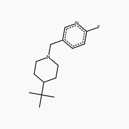 CC(C)(C)C1CCN(Cc2ccc(F)nc2)CC1